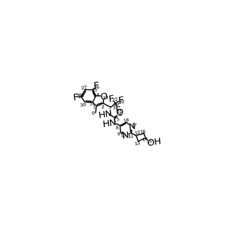 Cc1c([C@@H](NC(=O)Nc2cnc(C3CC(O)C3)nc2)C(F)(F)F)oc2c(F)cc(F)cc12